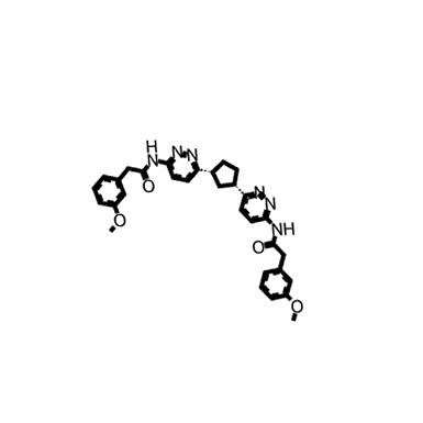 COc1cccc(CC(=O)Nc2ccc([C@@H]3CC[C@H](c4ccc(NC(=O)Cc5cccc(OC)c5)nn4)C3)nn2)c1